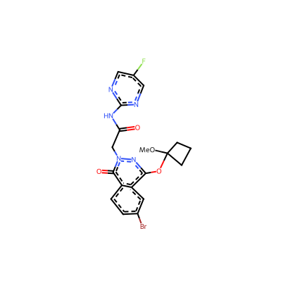 COC1(Oc2nn(CC(=O)Nc3ncc(F)cn3)c(=O)c3ccc(Br)cc23)CCC1